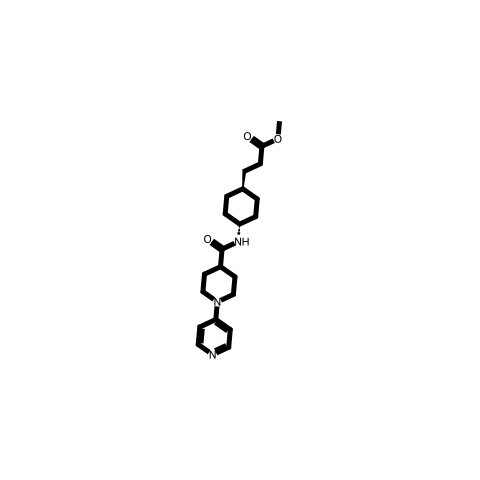 COC(=O)CC[C@H]1CC[C@H](NC(=O)C2CCN(c3ccncc3)CC2)CC1